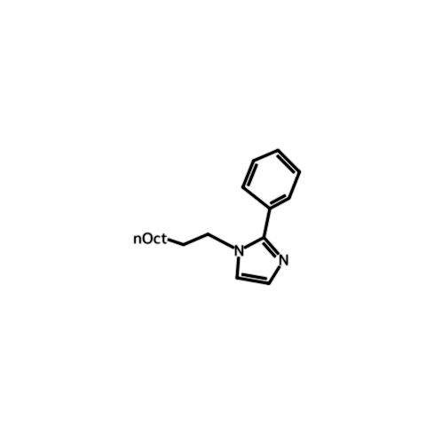 CCCCCCCCCCn1ccnc1-c1ccccc1